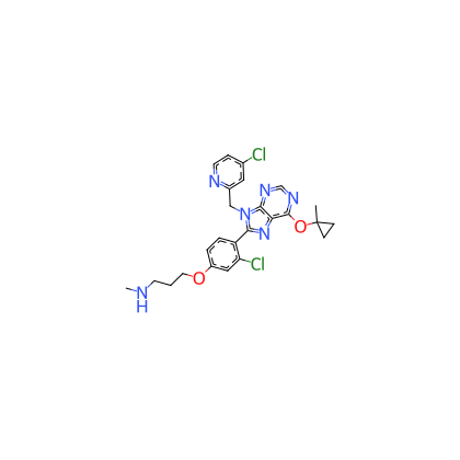 CNCCCOc1ccc(-c2nc3c(OC4(C)CC4)ncnc3n2Cc2cc(Cl)ccn2)c(Cl)c1